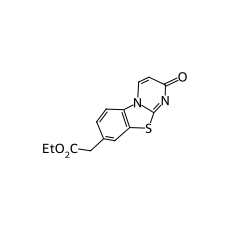 CCOC(=O)Cc1ccc2c(c1)sc1nc(=O)ccn12